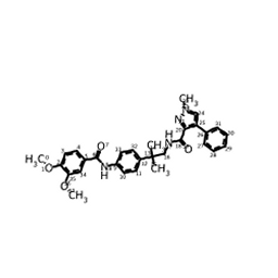 COc1ccc(C(=O)Nc2ccc(C(C)(C)CNC(=O)c3nn(C)cc3-c3ccccc3)cc2)cc1OC